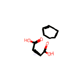 C1=CCCCC1.O=C(O)/C=C\C(=O)O